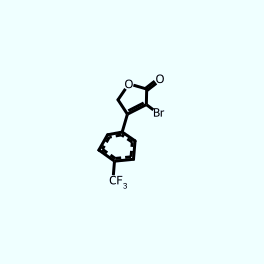 O=C1OCC(c2ccc(C(F)(F)F)cc2)=C1Br